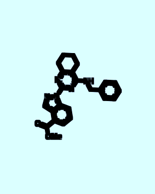 COC(=O)c1cccc2c1cnn2-c1nc2c(c(NCc3ccccc3)n1)CCCC2